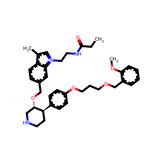 CCC(=O)NCCn1cc(C)c2ccc(CO[C@H]3CNCC[C@@H]3c3ccc(OCCCOCc4ccccc4OC)cc3)cc21